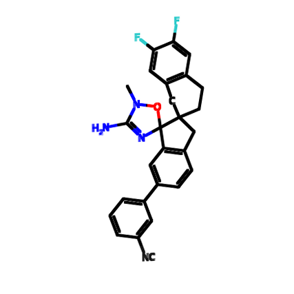 [C-]#[N+]c1cccc(-c2ccc3c(c2)C2(N=C(N)N(C)O2)C2(CCc4cc(F)c(F)cc4C2)C3)c1